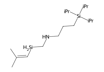 CC(C)=C[SiH2]CNCCC[Si](C(C)C)(C(C)C)C(C)C